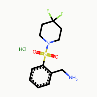 Cl.NCc1ccccc1S(=O)(=O)N1CCC(F)(F)CC1